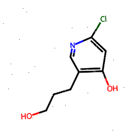 OCCCc1cnc(Cl)cc1O